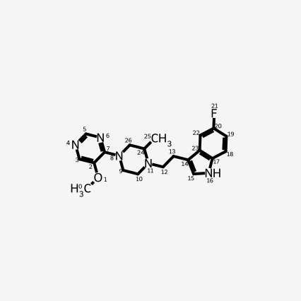 COc1cncnc1N1CCN(CCc2c[nH]c3ccc(F)cc23)C(C)C1